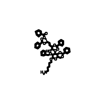 NCCCCCOC1OC2COC(c3ccccc3)OC2C(OC(O)C(/C=C/[C@@H](COC(=O)c2ccccc2)OC(=O)c2ccccc2)OC(=O)c2ccccc2)C1OCc1ccccc1